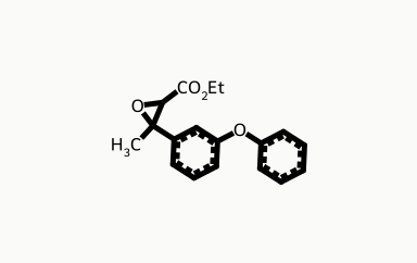 CCOC(=O)C1OC1(C)c1cccc(Oc2ccccc2)c1